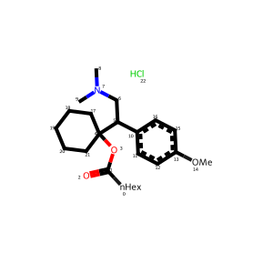 CCCCCCC(=O)OC1(C(CN(C)C)c2ccc(OC)cc2)CCCCC1.Cl